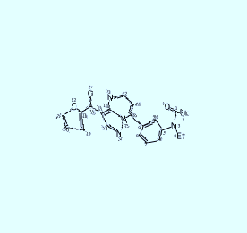 CCC(=O)N(CC)c1cccc(-c2ccnc3c(C(=O)c4ccco4)cnn23)c1